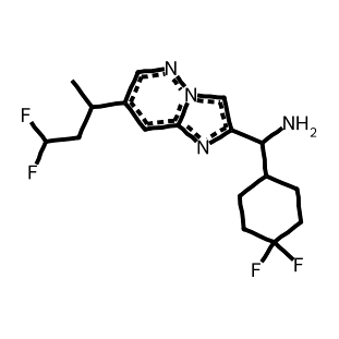 CC(CC(F)F)c1cnn2cc(C(N)C3CCC(F)(F)CC3)nc2c1